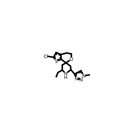 CCC1CC2(CC(c3cn(C)nn3)N1)OCCc1cc(Cl)sc12